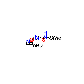 CCCCc1cc(OC2CCN(CCCC(=O)NCCCOC)CC2)c2ncccc2c1